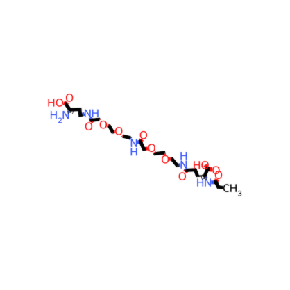 CCC(=O)N[C@@H](CCC(=O)NCCOCCOCC(=O)NCCOCCOCC(=O)NCC[C@H](N)C(=O)O)C(=O)O